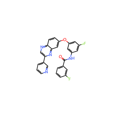 O=C(Nc1cc(F)cc(Oc2ccc3ncc(-c4cccnc4)nc3c2)c1)c1cccc(F)c1